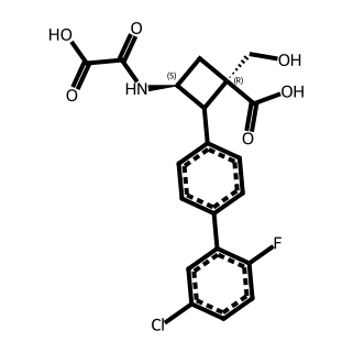 O=C(O)C(=O)N[C@H]1C[C@@](CO)(C(=O)O)C1c1ccc(-c2cc(Cl)ccc2F)cc1